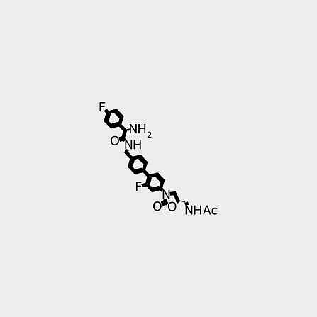 CC(=O)NC[C@H]1CN(c2ccc(-c3ccc(CNC(=O)[C@H](N)c4ccc(F)cc4)cc3)c(F)c2)C(=O)O1